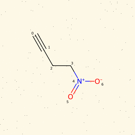 [C]#CCC[N+](=O)[O-]